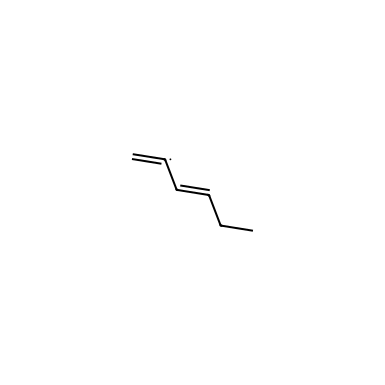 C=[C]C=CCC